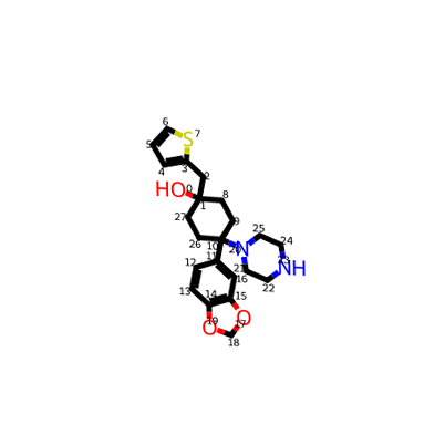 OC1(Cc2cccs2)CCC(c2ccc3c(c2)OCO3)(N2CCNCC2)CC1